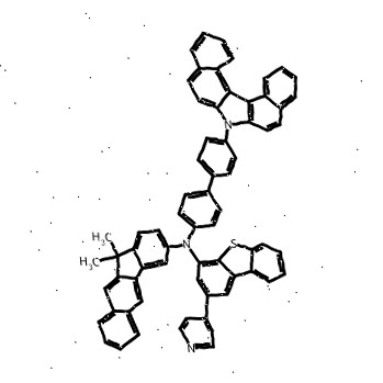 CC1(C)c2ccc(N(c3ccc(-c4ccc(-n5c6ccc7ccccc7c6c6c7ccccc7ccc65)cc4)cc3)c3cc(-c4ccncc4)cc4c3sc3ccccc34)cc2-c2cc3ccccc3cc21